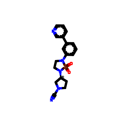 N#CN1CC[C@H](N2CCN(c3cccc(-c4cccnc4)c3)S2(=O)=O)C1